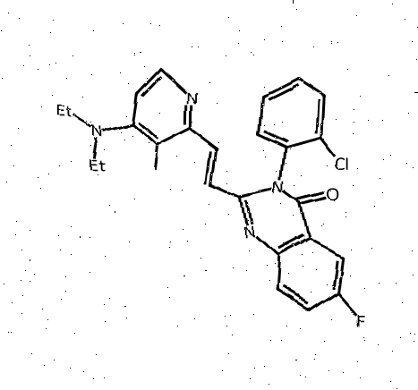 CCN(CC)c1ccnc(C=Cc2nc3ccc(F)cc3c(=O)n2-c2ccccc2Cl)c1C